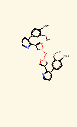 CCCOc1cc(-c2cccnc2C2=COB(OB3CC(c4ncccc4-c4ccc(OC)c(OCCC)c4)=CO3)C2)ccc1OC